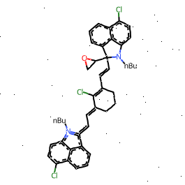 CCCCN1c2ccc(Cl)c3cccc(c23)C1(/C=C/C1=C(Cl)C(=C/C=c2/c3cccc4c(Cl)ccc(c43)n2CCCC)/CCC1)C1CO1